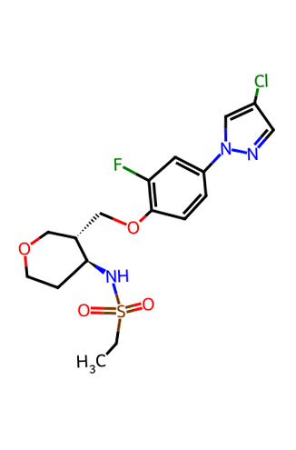 CCS(=O)(=O)N[C@H]1CCOC[C@@H]1COc1ccc(-n2cc(Cl)cn2)cc1F